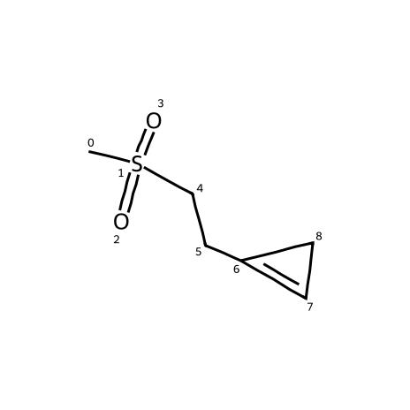 CS(=O)(=O)CCC1=CC1